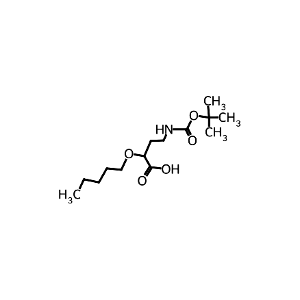 CCCCCOC(CCNC(=O)OC(C)(C)C)C(=O)O